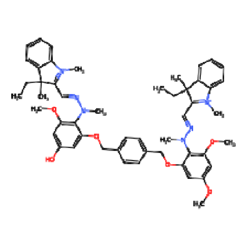 CCC1(C)C(/C=N/N(C)c2c(OC)cc(O)cc2OCc2ccc(COc3cc(OC)cc(OC)c3N(C)/N=C/C3=[N+](C)c4ccccc4C3(C)CC)cc2)=[N+](C)c2ccccc21